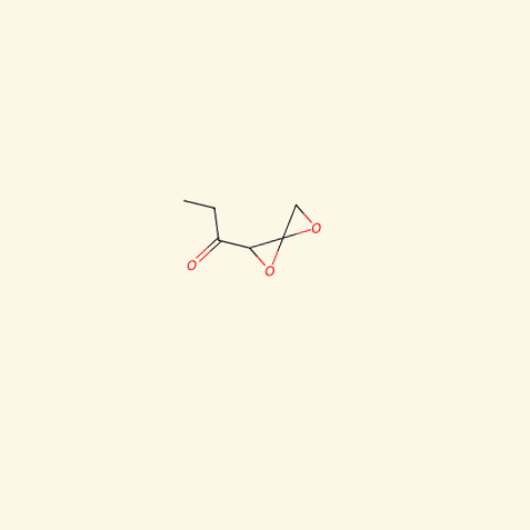 CCC(=O)C1OC12CO2